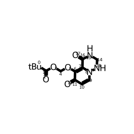 CC(C)(C)C(=O)OCOc1c2n(ccc1=O)NCNC2=O